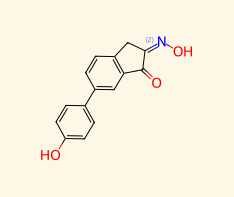 O=C1/C(=N\O)Cc2ccc(-c3ccc(O)cc3)cc21